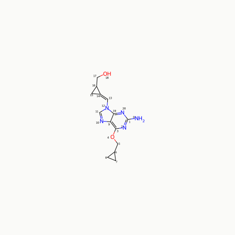 Nc1nc(OCC2CC2)c2ncn(C=C3CC3CO)c2n1